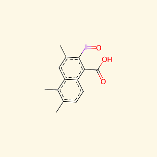 Cc1cc2c(C)c(C)ccc2c(C(=O)O)c1I=O